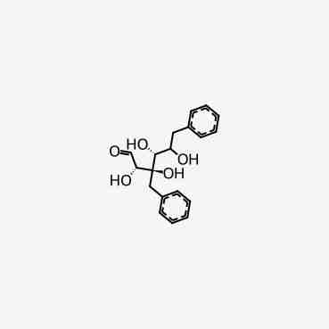 O=C[C@@H](O)[C@@](O)(Cc1ccccc1)[C@H](O)C(O)Cc1ccccc1